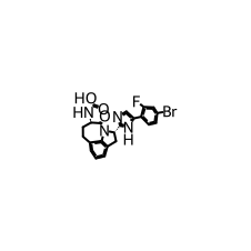 O=C(O)N[C@H]1CCc2cccc3c2N(C1=O)[C@H](c1ncc(-c2ccc(Br)cc2F)[nH]1)C3